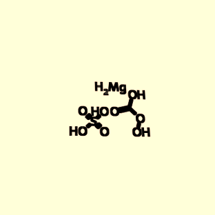 O=C(O)OO.O=S(=O)(O)O.[MgH2]